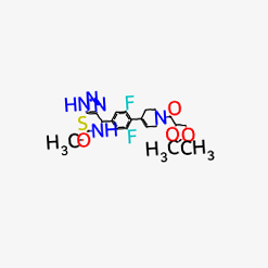 COC(=S)NC(c1cc(F)c(C2=CCN(C(=O)C3COC(C)(C)O3)CC2)c(F)c1)c1c[nH]nn1